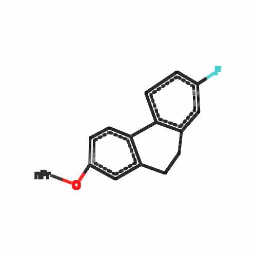 CCCOc1ccc2c(c1)CCc1cc(F)ccc1-2